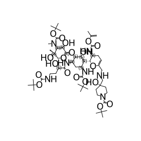 C=C(C)OC(=O)N[C@@H]1CC=C(CNCC2(O)CCN(C(=O)OC(C)(C)C)CC2)OC1[C@H]1[C@H](O)[C@@H](O[C@H]2OC[C@](C)(O)[C@H](N(C)C(=O)OC(C)(C)C)[C@H]2O)[C@H](NC(=O)[C@@H](O)CCNC(=O)OC(C)(C)C)C[C@@H]1NC(=O)OC(C)(C)C